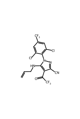 C=CCNc1c(C(=O)C(F)(F)F)c(C#N)nn1-c1c(Cl)cc(C(F)(F)F)cc1Cl